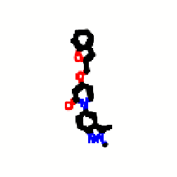 Cc1c2cc(-n3ccc(OCc4cc5ccccc5o4)cc3=O)ccc2nn1C